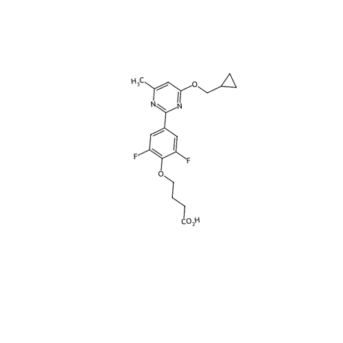 Cc1cc(OCC2CC2)nc(-c2cc(F)c(OCCCC(=O)O)c(F)c2)n1